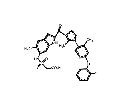 Cc1cc2cc(C(=O)c3cnn(-c4cnc(Oc5ccccc5F)cc4C)c3N)[nH]c2cc1NS(=O)(=O)CC(=O)O